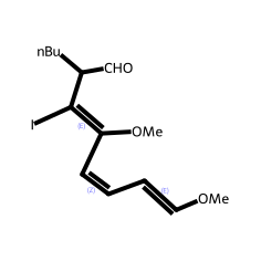 CCCCC(C=O)/C(I)=C(/C=C\C=C\OC)OC